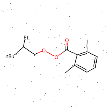 CCCCC([CH]OOC(=O)c1c(C)cccc1C)CC